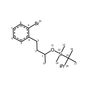 CC(CCc1ccccc1Br)O[Si](C)(C)C(C)(C)C(C)C